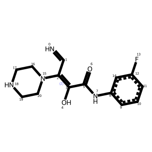 N=C/C(=C(/O)C(=O)Nc1cccc(F)c1)N1CCNCC1